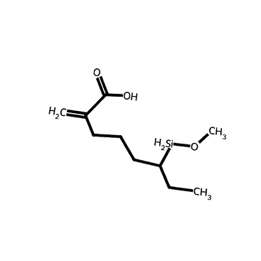 C=C(CCCC(CC)[SiH2]OC)C(=O)O